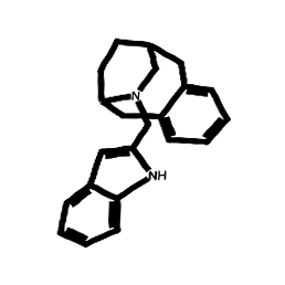 c1ccc2c(c1)CC1CCC(C2)N(Cc2cc3ccccc3[nH]2)C1